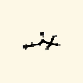 FC(F)(F)CCCP.I